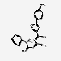 C=C(/N=C(N)\N=C(/N)c1noc(-c2ccc(OC)cc2)n1)N(C)c1ccccc1